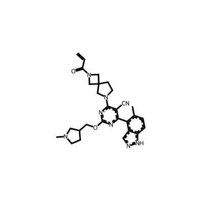 C=CC(=O)N1CC2(CCN(c3nc(OCC4CCN(C)C4)nc(-c4c(C)ccc5[nH]ncc45)c3C#N)C2)C1